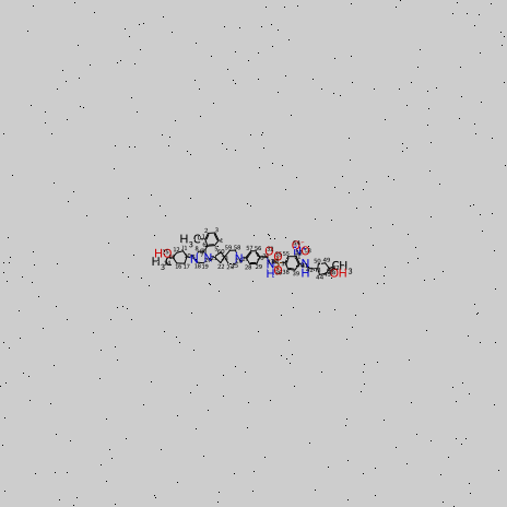 Cc1ccccc1[C@@H]1CN(C2CCC(C)(O)CC2)CCN1C1CC2(CCN(c3ccc(C(=O)NS(=O)(=O)c4ccc(NCC5CCC(C)(O)CC5)c([N+](=O)[O-])c4)cc3)CC2)C1